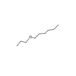 CCCCC[CH]OCCC